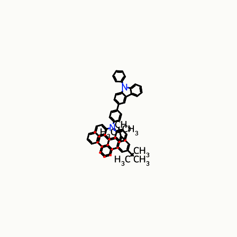 CC(C)(C)C1=CC2C(=C2C(C)(C)C)C(c2cccc3cccc(-c4ccccc4N(c4ccc(-c5ccc6c(c5)c5ccccc5n6-c5ccccc5)cc4)c4ccccc4-c4cccc5cccc(-c6ccccc6)c45)c23)=C1